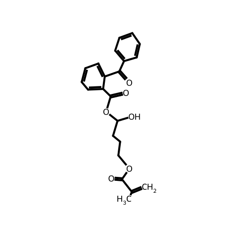 C=C(C)C(=O)OCCCC(O)OC(=O)c1ccccc1C(=O)c1ccccc1